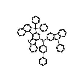 c1ccc(-c2ccc(N(c3ccc4c5ccccc5n(-c5ccccc5)c4c3)c3cc4c(c5oc6ccccc6c35)-c3c(ccc5ccccc35)C4(c3ccccc3)c3ccccc3)cc2)cc1